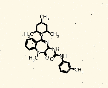 Cc1cccc(NC(=O)NC2N=C(N3C(C)CC(C)CC3C)c3ccccc3N(C)C2=O)c1